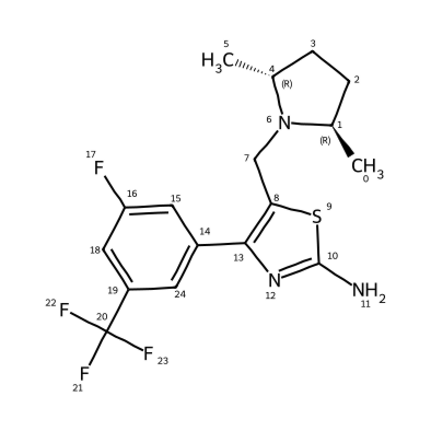 C[C@@H]1CC[C@@H](C)N1Cc1sc(N)nc1-c1cc(F)cc(C(F)(F)F)c1